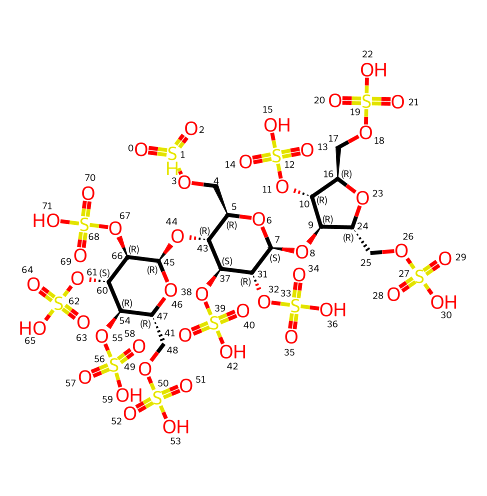 O=[SH](=O)OC[C@H]1O[C@@H](O[C@H]2[C@H](OS(=O)(=O)O)[C@@H](COS(=O)(=O)O)O[C@@H]2COS(=O)(=O)O)[C@H](OS(=O)(=O)O)[C@@H](OS(=O)(=O)O)[C@@H]1O[C@H]1O[C@H](COS(=O)(=O)O)[C@@H](OS(=O)(=O)O)[C@H](OS(=O)(=O)O)[C@H]1OS(=O)(=O)O